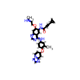 CNCCOc1cc2ncnc(Nc3ccc(Oc4ccn5ncnc5c4)c(C)c3)c2cc1NC(=O)C#CC1CC1